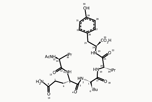 CC[C@H](C)[C@H](NC(=O)[C@H](CCC(N)=O)NC(=O)[C@@H](NC(C)=O)C(C)C)C(=O)N[C@H](C(=O)N[C@@H](Cc1ccc(O)cc1)C(=O)O)C(C)C